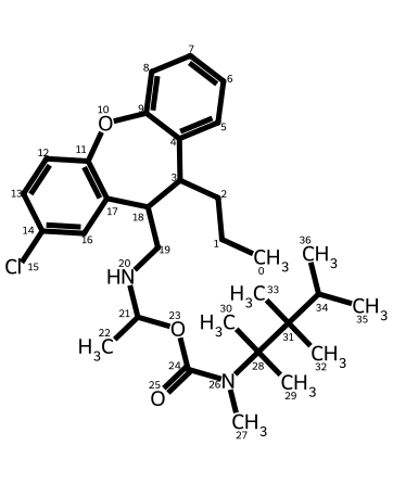 CCCC1c2ccccc2Oc2ccc(Cl)cc2C1CNC(C)OC(=O)N(C)C(C)(C)C(C)(C)C(C)C